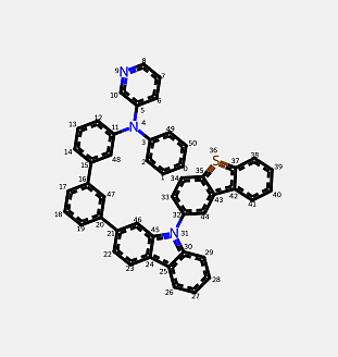 c1ccc(N(c2cccnc2)c2cccc(-c3cccc(-c4ccc5c6ccccc6n(-c6ccc7sc8ccccc8c7c6)c5c4)c3)c2)cc1